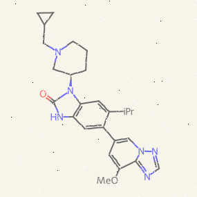 COc1cc(-c2cc3[nH]c(=O)n([C@@H]4CCCN(CC5CC5)C4)c3cc2C(C)C)cn2ncnc12